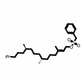 C/C(=C\COS(=O)(=O)Cc1ccccc1)CCC[C@H](C)CCC[C@H](C)CCCC(C)C